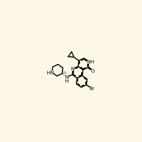 O=c1[nH]cc(C2CC2)c2nc(N[C@H]3CCCNC3)c3ccc(Br)cc3c12